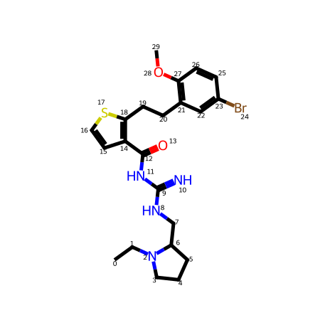 CCN1CCCC1CNC(=N)NC(=O)c1ccsc1CCc1cc(Br)ccc1OC